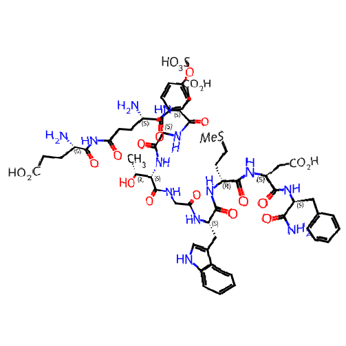 CSCC[C@@H](NC(=O)[C@H](Cc1c[nH]c2ccccc12)NC(=O)CNC(=O)[C@@H](NC(=O)[C@H](Cc1ccc(OS(=O)(=O)O)cc1)NC(=O)[C@H](CC(=O)O)NC(=O)[C@@H](N)CCC(=O)NC(=O)[C@@H](N)CCC(=O)O)[C@@H](C)O)C(=O)N[C@@H](CC(=O)O)C(=O)N[C@@H](Cc1ccccc1)C(N)=O